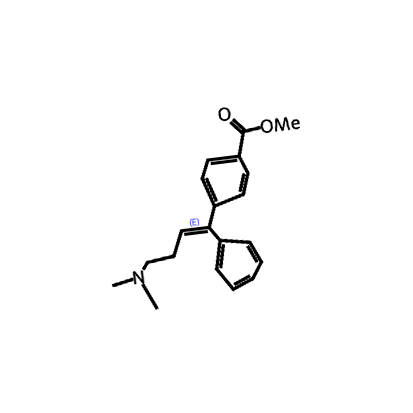 COC(=O)c1ccc(/C(=C/CCN(C)C)c2ccccc2)cc1